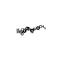 Cc1nc(C2CN(c3cncc(OC[C@H]4CC[C@H](C)CC4)c3)CCO2)ccc1C(=O)O